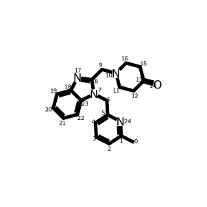 Cc1cccc(Cn2c(CN3CCC(=O)CC3)nc3ccccc32)n1